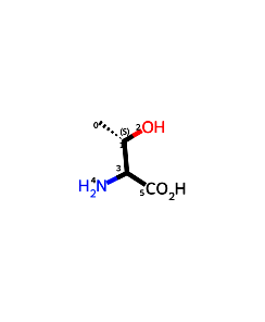 C[C@H](O)C(N)C(=O)O